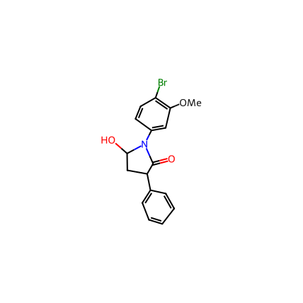 COc1cc(N2C(=O)C(c3ccccc3)CC2O)ccc1Br